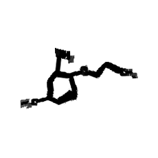 C=CCOc1ccc(C)cc1N